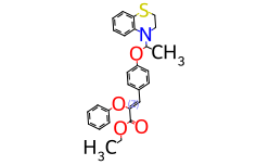 CCOC(=O)/C(=C/c1ccc(OC(C)N2CCSc3ccccc32)cc1)Oc1ccccc1